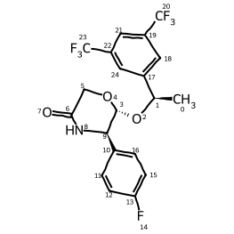 C[C@@H](O[C@H]1OCC(=O)N[C@@H]1c1ccc(F)cc1)c1cc(C(F)(F)F)cc(C(F)(F)F)c1